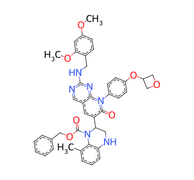 COc1ccc(CNc2ncc3cc(C4CNc5cccc(C)c5N4C(=O)OCc4ccccc4)c(=O)n(-c4ccc(OC5COC5)cc4)c3n2)c(OC)c1